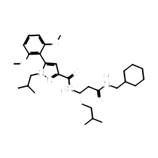 COc1cccc(OC)c1-c1cc(C(=O)N[C@@H](CCC(C)C)CC(=O)NCC2CCCCC2)nn1CC(C)C